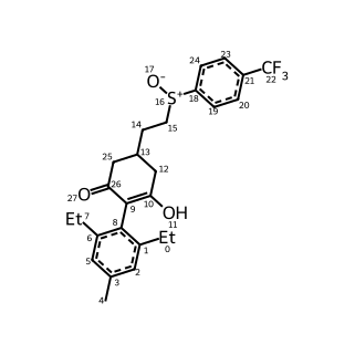 CCc1cc(C)cc(CC)c1C1=C(O)CC(CC[S+]([O-])c2ccc(C(F)(F)F)cc2)CC1=O